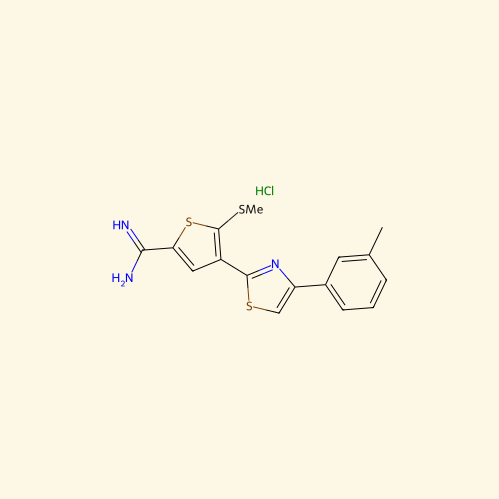 CSc1sc(C(=N)N)cc1-c1nc(-c2cccc(C)c2)cs1.Cl